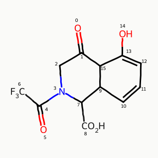 O=C1CN(C(=O)C(F)(F)F)C(C(=O)O)C2C=CC=C(O)C12